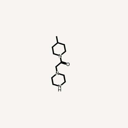 CC1CCN(C(=O)CN2CCNCC2)CC1